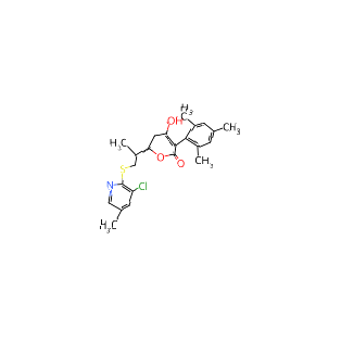 Cc1cc(C)c(C2=C(O)CC(C(C)CSc3ncc(C)cc3Cl)OC2=O)c(C)c1